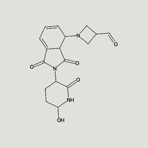 O=CC1CN(C2C=CC=C3C(=O)N(C4CCC(O)NC4=O)C(=O)C32)C1